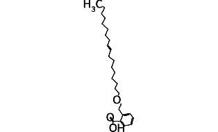 CCCCCCCCC=CCCCCCCCCOCCc1ccccc1C(=O)O